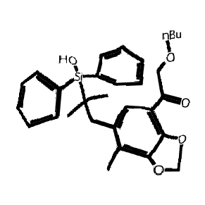 CCCCOCC(=O)c1cc(CC(C)(C)[Si](O)(c2ccccc2)c2ccccc2)c(C)c2c1OCO2